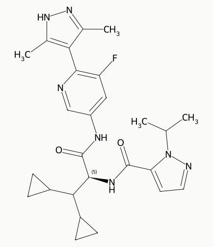 Cc1n[nH]c(C)c1-c1ncc(NC(=O)[C@@H](NC(=O)c2ccnn2C(C)C)C(C2CC2)C2CC2)cc1F